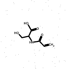 C=CC(=O)NC(CO)C(=O)O